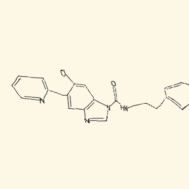 O=C(NCCc1ccccc1)n1cnc2cc(-c3ccccn3)c(Cl)cc21